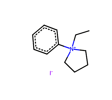 CC[N+]1(c2ccccc2)CCCC1.[I-]